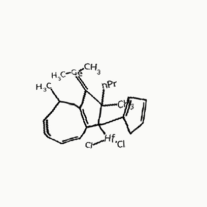 CCCC1(C)[C](=[Ge]([CH3])[CH3])C2=C(C=CC=CC2C)[C]1(C1=CC=CC1)[Hf]([Cl])[Cl]